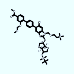 COCOc1cc(C(=O)OC)ccc1-c1ccc(-c2cc3nc(O[C@@H]4CO[C@@H]5C(O[Si](C)(C)C(C)(C)C)CO[C@@H]54)n(COCC[Si](C)(C)C)c3cc2Cl)cc1